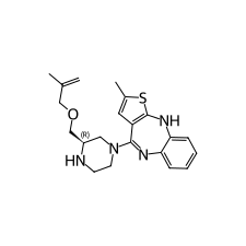 C=C(C)COC[C@H]1CN(C2=Nc3ccccc3Nc3sc(C)cc32)CCN1